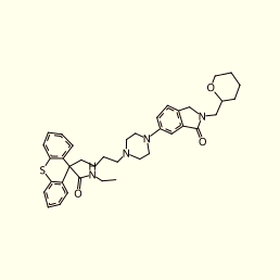 CCNC(=O)C1(CCCCN2CCN(c3ccc4c(c3)C(=O)N(CC3CCCCO3)C4)CC2)c2ccccc2Sc2ccccc21